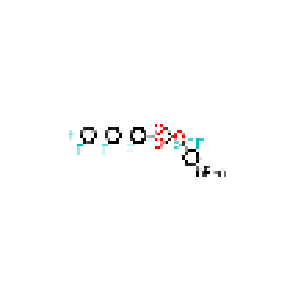 CCCCCc1ccc(C(F)(F)OC2COC(c3ccc(-c4ccc(-c5ccc(F)c(F)c5)c(F)c4)c(F)c3)OC2)c(F)c1